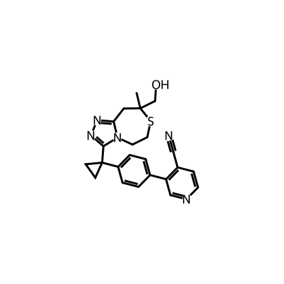 CC1(CO)Cc2nnc(C3(c4ccc(-c5cnccc5C#N)cc4)CC3)n2CCS1